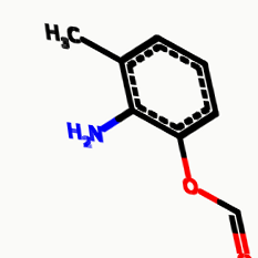 Cc1cccc(OC=O)c1N